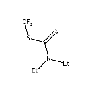 CCN(CC)C(=S)SC(F)(F)F